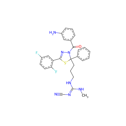 CN/C(=N/C#N)NCCCC1(c2ccccc2)SC(c2cc(F)ccc2F)=NN1C(=O)c1cccc(N)c1